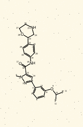 Cn1nc(-c2cccc(OC(F)F)c2)cc1C(=O)Nc1ccc(C2CNCCO2)cc1